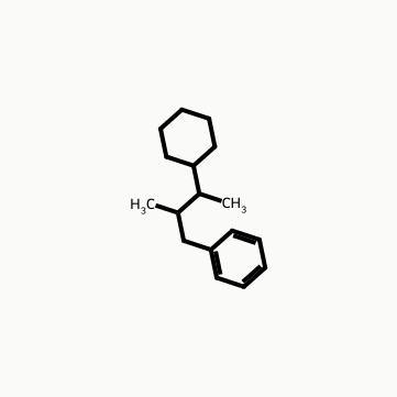 CC(Cc1ccccc1)C(C)C1CCCCC1